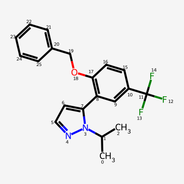 CC(C)n1nccc1-c1cc(C(F)(F)F)ccc1OCc1ccccc1